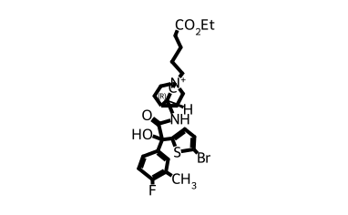 CCOC(=O)CCCC[N+]12CCC(CC1)[C@@H](NC(=O)C(O)(c1ccc(F)c(C)c1)c1ccc(Br)s1)C2